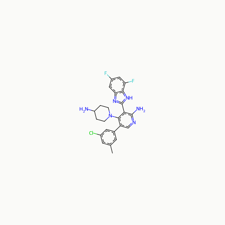 Cc1cc(Cl)cc(-c2cnc(N)c(-c3nc4cc(F)cc(F)c4[nH]3)c2N2CCC(N)CC2)c1